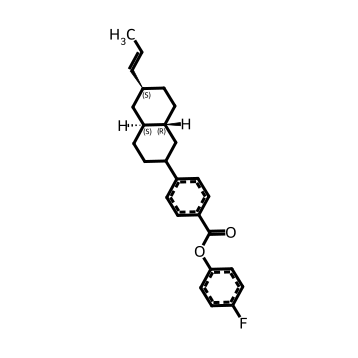 CC=C[C@H]1CC[C@@H]2CC(c3ccc(C(=O)Oc4ccc(F)cc4)cc3)CC[C@H]2C1